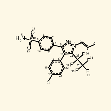 CC=Cn1nc(-c2ccc(S(N)(=O)=O)cc2)c(-c2ccc(C)cc2)c1C(F)(F)C(F)(F)F